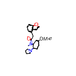 COC1CCC(N2CCCC2)C(N(C)C(=O)Cc2cccc3occc23)C1